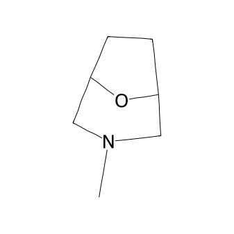 CN1CC2CCC(C1)O2